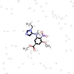 CCn1cncc1N(C)c1cc(C(=O)OC)cc(OC)c1[N+](=O)[O-]